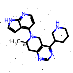 C[C@@H]1Cc2ncnc(C3CCCNC3)c2CN1c1ccnc2[nH]ccc12